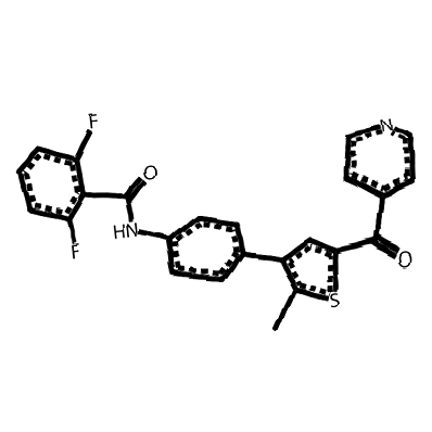 Cc1sc(C(=O)c2ccncc2)cc1-c1ccc(NC(=O)c2c(F)cccc2F)cc1